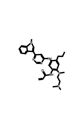 C=CC(=O)Nc1cc(Nc2cc(-c3cn(C)c4ccccc34)ncn2)c(CCC)cc1N(C)CCN(C)C